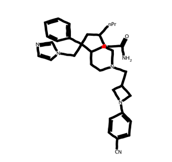 CCCC(CC(Cn1ccnc1)(c1ccccc1)C1CCN(CC2CN(c3ccc(C#N)cc3)C2)CC1)OC(N)=O